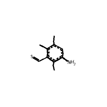 Cc1cc(N)c(C)c(C=S)c1C